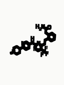 CN1CCC(c2ccc(Nc3ncc(C(F)(F)F)c(CCc4ccccc4CC(N)=O)n3)cn2)CC1